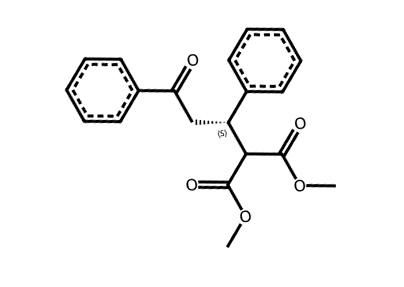 COC(=O)C(C(=O)OC)[C@H](CC(=O)c1ccccc1)c1ccccc1